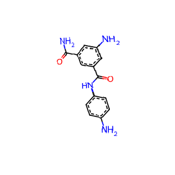 NC(=O)c1cc(N)cc(C(=O)Nc2ccc(N)cc2)c1